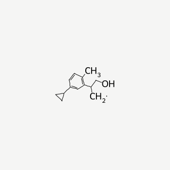 [CH2]C(CO)c1cc(C2CC2)ccc1C